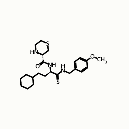 COc1ccc(CNC(=S)[C@@H](CCC2CCCCC2)NC(=O)[C@H]2CSCCN2)cc1